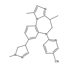 Cc1cnc2n1-c1ccc(C3C=NN(C)C3)cc1N(c1ccc(C#N)cn1)CC2C